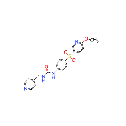 COc1ccc(S(=O)(=O)c2ccc(NC(=O)NCc3ccncc3)cc2)cn1